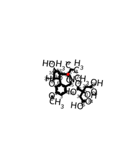 COc1ccc2c3c1O[C@H]1C[C@@H](O)C=C(C(=O)C(C)C)[C@@]31CCN(C)C2.O=C(O)CC(O)(CC(=O)O)C(=O)O